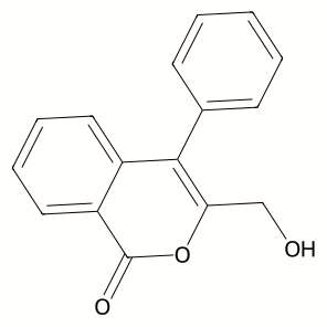 O=c1oc(CO)c(-c2ccccc2)c2ccccc12